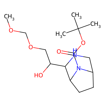 COCOCC(O)C1NCC2CCC1N2C(=O)OC(C)(C)C